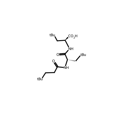 CC(C)(C)CCC(=O)N[C@@H](CC(C)(C)C)C(=O)N[C@@H](CC(C)(C)C)C(=O)O